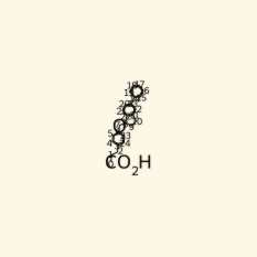 O=C(O)CCc1ccc(OC2CCc3cc(-c4ccccc4)ccc32)cc1